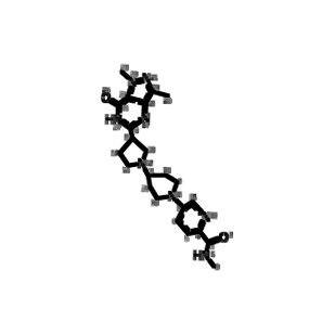 CNC(=O)c1ccc(N2CCC(N3CCC(c4nc5c(C)nn(C)c5c(=O)[nH]4)C3)CC2)cn1